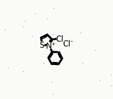 Clc1ccs[n+]1-c1ccccc1.[Cl-]